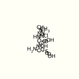 CCN(C)c1nc(Cl)nc(Nc2ccc(N=Nc3c(N)ccc4cc(SOOO)cc(O)c34)c(SOOO)c2)n1